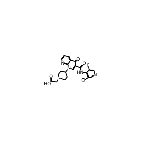 O=C(O)CN1CCC(n2cc(C(=O)Nc3c(Cl)cncc3Cl)c(=O)c3cccnc32)CC1